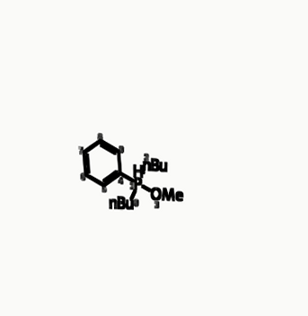 CCCC[PH](CCCC)(OC)c1ccccc1